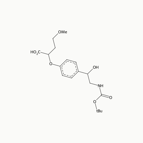 COCCC(Oc1ccc(C(O)CNC(=O)OC(C)(C)C)cc1)C(=O)O